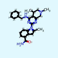 Cc1cc2c(C(N)=O)cccc2n1-c1nc2c(c(NCc3ccccc3)n1)C(C)CN(C)C2